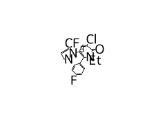 CCn1c(-c2ccc(F)cc2)c(-n2nccc2C(F)(F)F)cc(Cl)c1=O